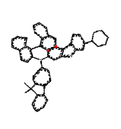 CC1(C)c2ccccc2-c2ccc(N(c3ccc4c(c3)sc3cc(C5CCCCC5)ccc34)c3ccc4ccccc4c3-c3cccc4ccccc34)cc21